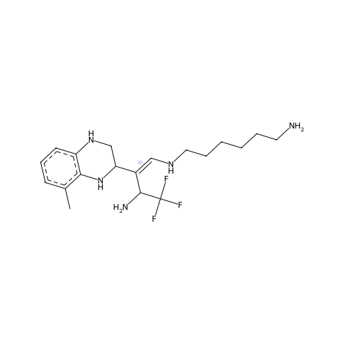 Cc1cccc2c1NC(/C(=C/NCCCCCCN)C(N)C(F)(F)F)CN2